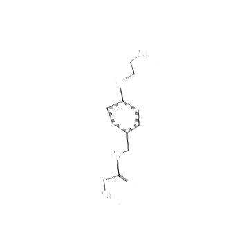 NCCOc1ccc(CNC(=O)CN)cc1